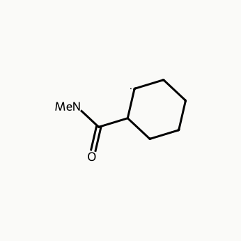 CNC(=O)C1[CH]CCCC1